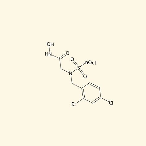 CCCCCCCCS(=O)(=O)N(CC(=O)NO)Cc1ccc(Cl)cc1Cl